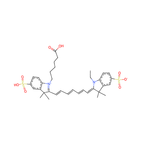 CCN1C(=CC=CC=CC=CC2=[N+](CCCCCC(=O)O)c3ccc(S(=O)(=O)O)cc3C2(C)C)C(C)(C)c2cc(S(=O)(=O)[O-])ccc21